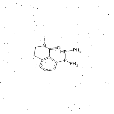 CN1CCc2cccc(P(P)PP)c2C1=O